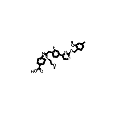 COCCn1c(Cc2ccc(-c3ccnc(OCc4ccc(C)cc4OC)n3)cc2F)nc2ccc(C(=O)O)cc21